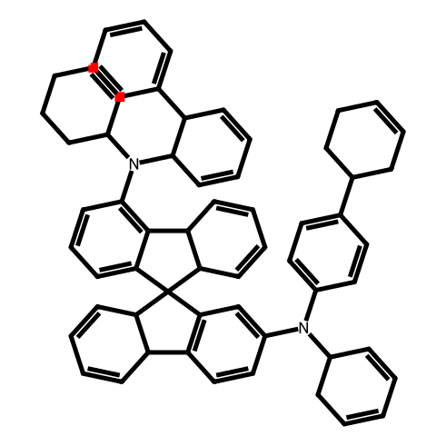 C1=CCC(N(c2ccc(C3CC=CCC3)cc2)c2ccc3c(c2)C2(c4cccc(N(C5C=CCCC5)C5C=CC=CC5c5ccccc5)c4C4C=CC=CC42)C2C=CC=CC32)C=C1